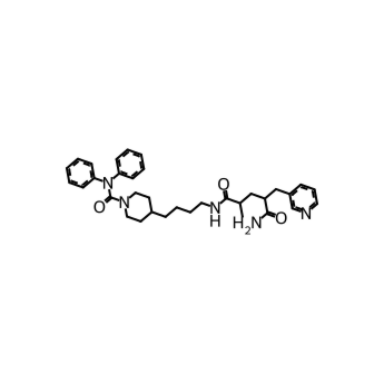 CC(CC(Cc1cccnc1)C(N)=O)C(=O)NCCCCC1CCN(C(=O)N(c2ccccc2)c2ccccc2)CC1